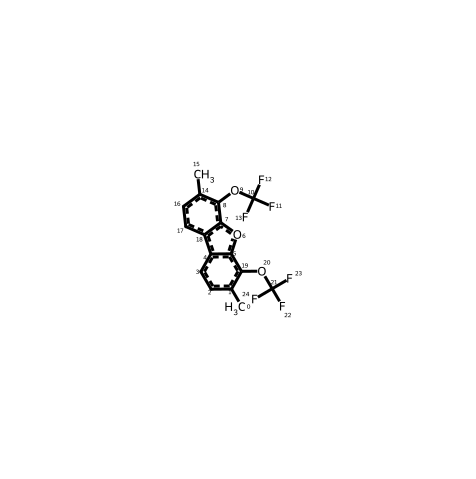 Cc1ccc2c(oc3c(OC(F)(F)F)c(C)ccc32)c1OC(F)(F)F